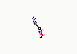 O=C(NCC(=O)N(O)C1CC1)c1ccc(C#Cc2ccc(CN3CCOCC3)cc2)cc1